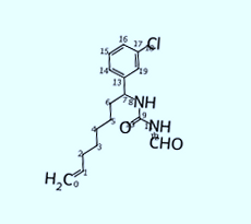 C=CCCCCCC(NC(=O)NC=O)c1cccc(Cl)c1